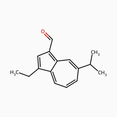 CCc1cc(C=O)c2cc(C(C)C)cccc1-2